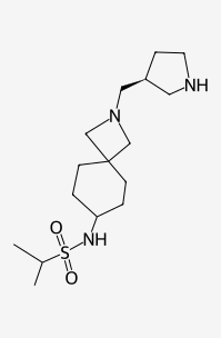 CC(C)S(=O)(=O)NC1CCC2(CC1)CN(C[C@H]1CCNC1)C2